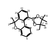 CC1(C)Oc2ccccc2-c2c(B3OC(C)(C)C(C)(C)O3)cccc21